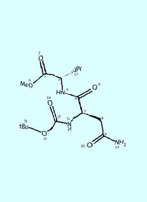 COC(=O)[C@@H](NC(=O)[C@@H](CC(N)=O)NC(=O)OC(C)(C)C)C(C)C